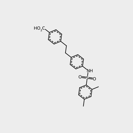 Cc1ccc(S(=O)(=O)Nc2ccc(CCc3ccc(C(=O)O)cc3)cc2)c(C)c1